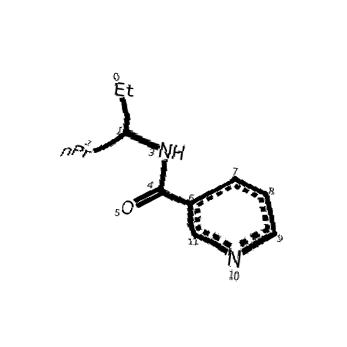 [CH2]CC(CCC)NC(=O)c1cccnc1